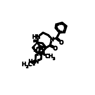 C=CCN[C@H]1C23C[C@@]1(CCC2(C)CN)NCCN(C(=O)c1ccccc1)C3=O